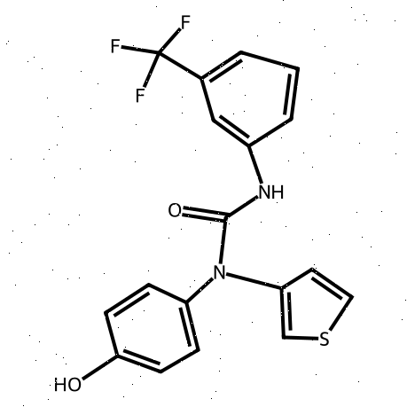 O=C(Nc1cccc(C(F)(F)F)c1)N(c1ccc(O)cc1)c1ccsc1